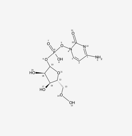 Nc1ccn(OP(=O)(O)OC2O[C@H](COO)[C@@H](O)[C@H]2O)c(=O)n1